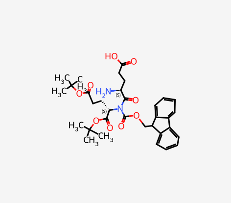 CC(C)(C)OC(=O)CC[C@@H](C(=O)OC(C)(C)C)N(C(=O)OCC1c2ccccc2-c2ccccc21)C(=O)[C@@H](N)CCC(=O)O